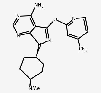 CN[C@H]1CC[C@@H](n2nc(Oc3cc(C(F)(F)F)ccn3)c3c(N)ncnc32)CC1